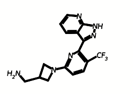 NCC1CN(c2ccc(C(F)(F)F)c(-c3n[nH]c4ncccc34)n2)C1